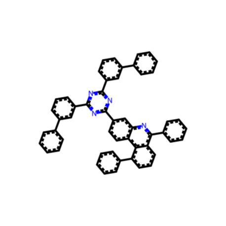 c1ccc(-c2cccc(-c3nc(-c4cccc(-c5ccccc5)c4)nc(-c4ccc5c(c4)nc(-c4ccccc4)c4cccc(-c6ccccc6)c45)n3)c2)cc1